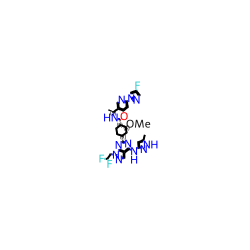 CO[C@H]1C[C@H](c2nc(Nc3cc(C)[nH]n3)c3cnn(CC(F)F)c3n2)CC[C@@H]1C(=O)N[C@@H](C)c1ccc(-n2cc(F)cn2)nc1